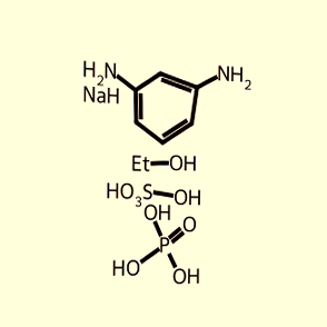 CCO.Nc1cccc(N)c1.O=P(O)(O)O.O=S(=O)(O)O.[NaH]